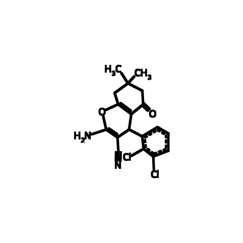 CC1(C)CC(=O)C2=C(C1)OC(N)=C(C#N)C2c1cccc(Cl)c1Cl